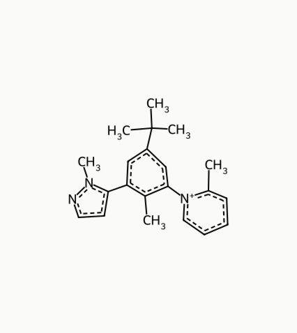 Cc1c(-c2ccnn2C)cc(C(C)(C)C)cc1-[n+]1ccccc1C